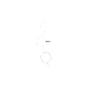 O=C1N(CCO)CCN1c1ccc(I)cc1